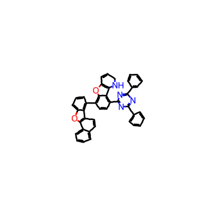 C1=Cc2oc3c(-c4cccc5oc6c7ccccc7ccc6c45)ccc(-c4nc(-c5ccccc5)nc(-c5ccccc5)n4)c3c2NC1